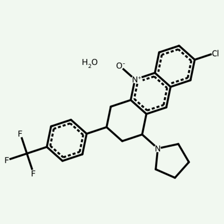 O.[O-][n+]1c2c(cc3cc(Cl)ccc31)C(N1CCCC1)CC(c1ccc(C(F)(F)F)cc1)C2